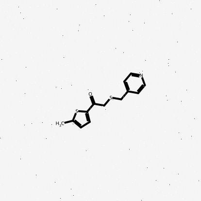 Cc1ccc(C(=O)CSCc2ccncc2)s1